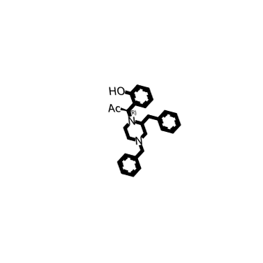 CC(=O)[C@@H](c1ccccc1O)N1CCN(Cc2ccccc2)CC1Cc1ccccc1